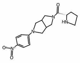 O=C([C@@H]1CCCN1)N1CC2CN(c3ccc([N+](=O)[O-])cc3)CC2C1